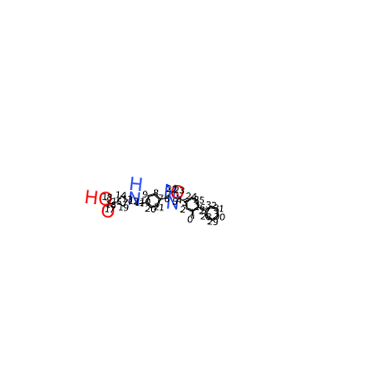 Cc1cc(-c2nc(-c3ccc(CNC4CC(C(=O)O)C4)cc3)no2)ccc1-c1ccccc1